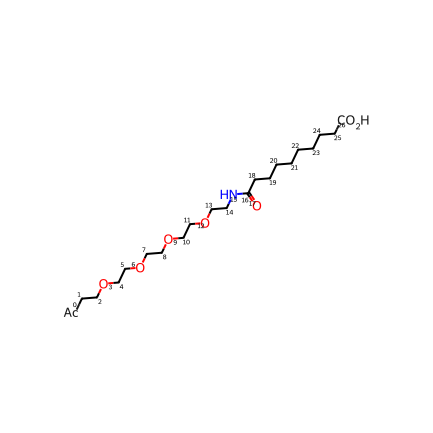 CC(=O)CCOCCOCCOCCOCCNC(=O)CCCCCCCCC(=O)O